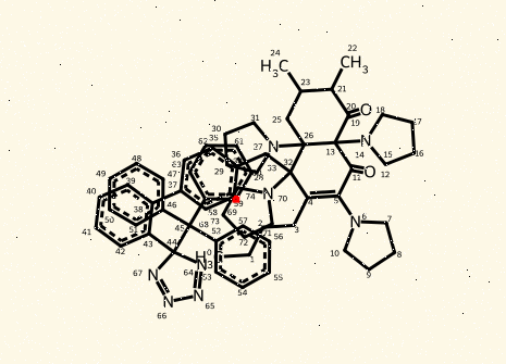 CCCCC1=C(N2CCCC2)C(=O)C2(N3CCCC3)C(=O)C(C)C(C)CC2(N2CCCC2)C1(Cc1ccc(-c2ccccc2C2(C(c3ccccc3)(c3ccccc3)c3ccccc3)N=NN=N2)cc1)N1CCCC1